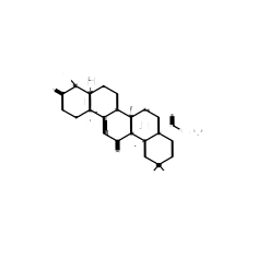 CC[C@@]1(C)C(=O)CC[C@]2(C)C3=CC(=O)[C@@H]4[C@@H]5CC(C)(C)CC[C@]5(C(=O)OC)CC[C@@]4(C)[C@]3(C)CC[C@@H]12